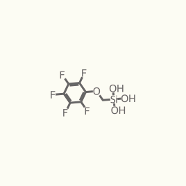 O[Si](O)(O)COc1c(F)c(F)c(F)c(F)c1F